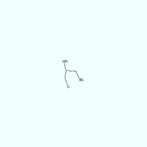 CCCC(C[O])CC(C)CC